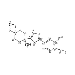 CCN1CCC(O)(c2ncc(-c3ccc(N)c(F)c3)s2)CC1